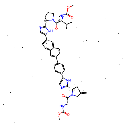 C=C1C[C@@H](c2ncc(-c3ccc(-c4ccc5cc(-c6cnc([C@@H]7CCCN7C(=O)[C@@H](NC(=O)OC)C(C)C)[nH]6)ccc5c4)cc3)[nH]2)N(C(=O)CNC(=O)OC)C1